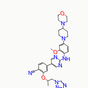 COc1cc(N2CCC(N3CCOCC3)CC2)ccc1Nc1ncc(-c2ccc(C#N)c(OC(C)Cn3cnnn3)c2)cn1